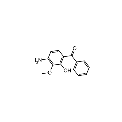 COc1c(N)ccc(C(=O)c2ccccc2)c1O